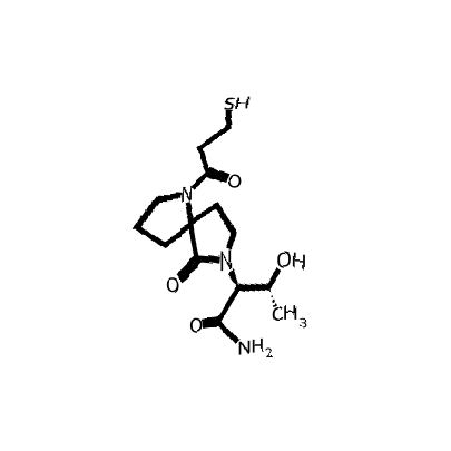 C[C@@H](O)[C@@H](C(N)=O)N1CCC2(CCCN2C(=O)CCS)C1=O